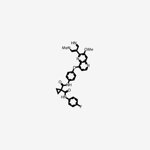 CN/C=C(\C=N)c1nc2c(Oc3ccc(NC(=O)C4(C(=O)Nc5ccc(F)cc5)CC4)cc3)ccnc2cc1OC